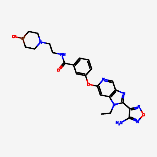 CCn1c(-c2nonc2N)nc2cnc(Oc3cccc(C(=O)NCCN4CC[S+]([O-])CC4)c3)cc21